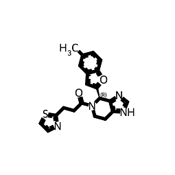 Cc1ccc2oc([C@H]3c4nc[nH]c4CCN3C(=O)CCc3nccs3)cc2c1